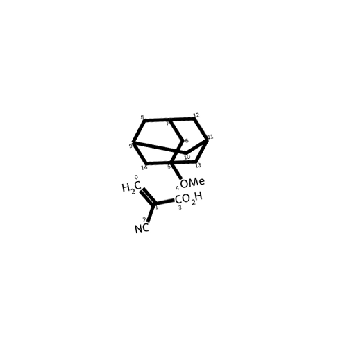 C=C(C#N)C(=O)O.COC12CC3CC(CC(C3)C1)C2